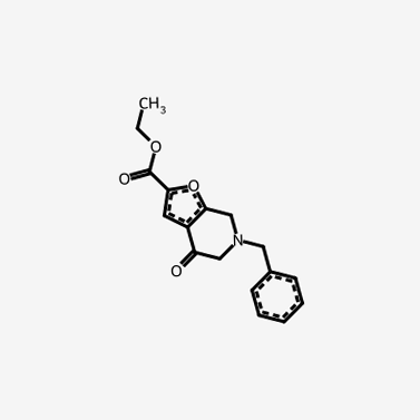 CCOC(=O)c1cc2c(o1)CN(Cc1ccccc1)CC2=O